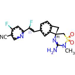 CN1C(N)=N[C@@]2(Cc3ccc(/C=C(\F)c4cc(F)c(C#N)cn4)cc32)CS1(=O)=O